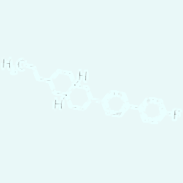 CCCC1CC[C@@H]2C[C@H](c3ccc(-c4ccc(F)cc4)cc3)CC[C@@H]2C1